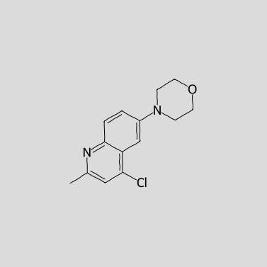 Cc1cc(Cl)c2cc(N3CCOCC3)ccc2n1